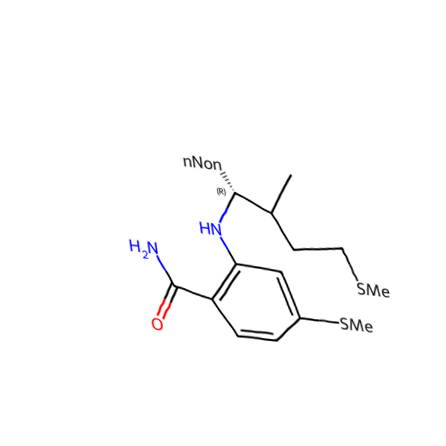 CCCCCCCCC[C@@H](Nc1cc(SC)ccc1C(N)=O)C(C)CCSC